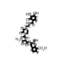 C[C@@H](O)[C@@H](NC(=O)N1CCN(CCNC(=O)c2c(F)cc(O)c(O)c2Cl)C(=O)C1=O)C(=O)NC1Cc2ccc(F)c(C(=O)O)c2OB1O